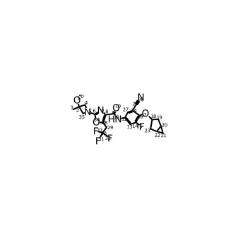 COC1(C)CN(c2nc(C(=O)Nc3cc(F)c(OC4CC5CC5C4)c(C#N)c3)c(CC(F)(F)F)o2)C1